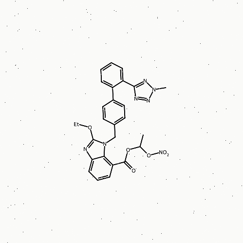 CCOc1nc2cccc(C(=O)OC(C)O[N+](=O)[O-])c2n1Cc1ccc(-c2ccccc2-c2nnn(C)n2)cc1